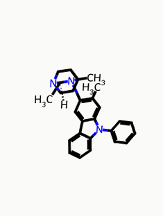 Cc1cc2c(cc1N1[C@@H](C)N3CCC1(C)CC3)c1ccccc1n2-c1ccccc1